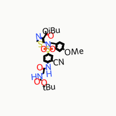 COc1ccc(CN(c2scnc2C(=O)OCC(C)C)S(=O)(=O)c2ccc(NC(=O)CNC(=O)OC(C)(C)C)c(C#N)c2)cc1